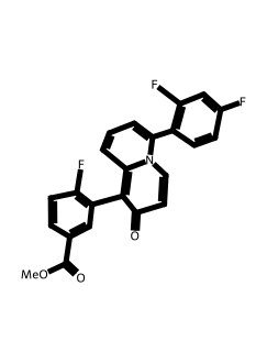 COC(=O)c1ccc(F)c(-c2c(=O)ccn3c(-c4ccc(F)cc4F)cccc23)c1